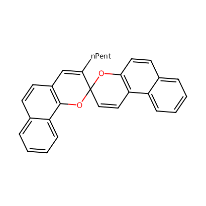 CCCCCC1=Cc2ccc3ccccc3c2OC12C=Cc1c(ccc3ccccc13)O2